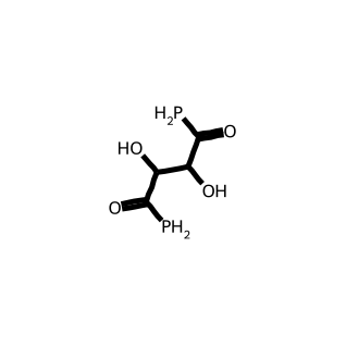 O=C(P)C(O)C(O)C(=O)P